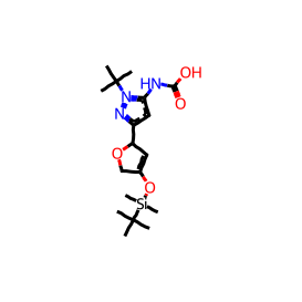 CC(C)(C)n1nc(C2C=C(O[Si](C)(C)C(C)(C)C)CO2)cc1NC(=O)O